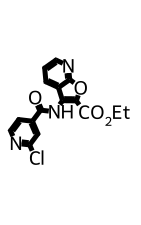 CCOC(=O)c1oc2ncccc2c1NC(=O)c1ccnc(Cl)c1